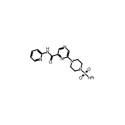 CCCS(=O)(=O)N1CCN(c2cncc(C(=O)Nc3ccccn3)n2)CC1